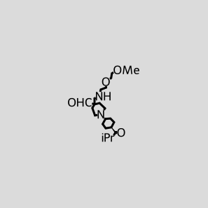 COCCOCCNCC1(C=O)CCN([C@H]2CC[C@H](C(=O)C(C)C)CC2)CC1